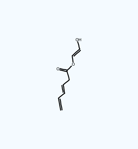 C=CC=CCC(=O)OC=CO